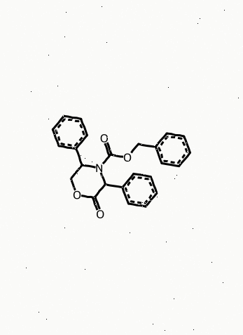 O=C1OCC(c2ccccc2)N(C(=O)OCc2ccccc2)C1c1ccccc1